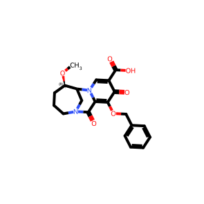 CO[C@@H]1CCCN2CC1n1cc(C(=O)O)c(=O)c(OCc3ccccc3)c1C2=O